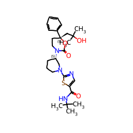 CC(C)(O)C[C@]1(c2ccccc2)CCN([C@H]2CCCN(c3ncc(C(=O)NC(C)(C)C)s3)C2)C(=O)O1